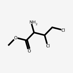 COC(=O)C(N)C(Cl)CCl